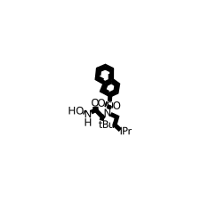 CC(C)CCN(C(C(=O)NO)C(C)(C)C)S(=O)(=O)c1ccc2ccccc2c1